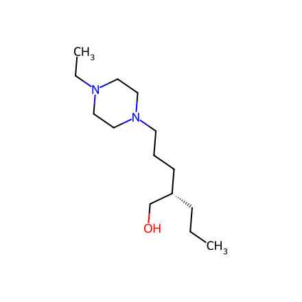 CCC[C@H](CO)CCCN1CCN(CC)CC1